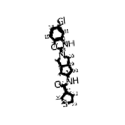 O=C(NC1CC2CN(C3Nc4cc(Cl)ccc4O3)CC2C1)C1CCSC1